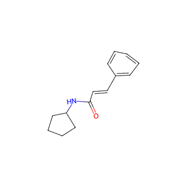 O=C(/C=C/c1ccccc1)NC1CCCC1